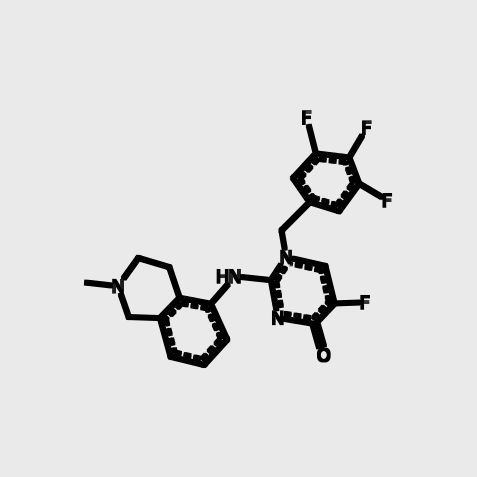 CN1CCc2c(cccc2Nc2nc(=O)c(F)cn2Cc2cc(F)c(F)c(F)c2)C1